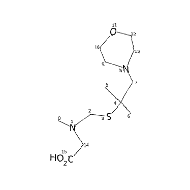 CN(CSC(C)(C)CN1CCOCC1)CC(=O)O